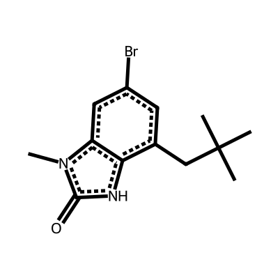 Cn1c(=O)[nH]c2c(CC(C)(C)C)cc(Br)cc21